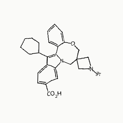 CC(C)N1CC2(COc3ccccc3-c3c(C4CCCCC4)c4ccc(C(=O)O)cc4n3C2)C1